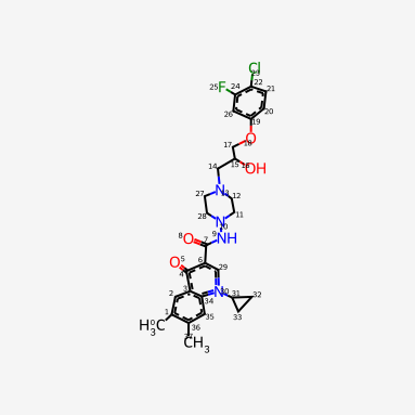 Cc1cc2c(=O)c(C(=O)NN3CCN(CC(O)COc4ccc(Cl)c(F)c4)CC3)cn(C3CC3)c2cc1C